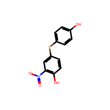 O=[N+]([O-])c1cc(Sc2ccc(O)cc2)ccc1O